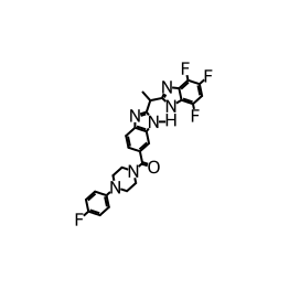 CC(c1nc2c(F)c(F)cc(F)c2[nH]1)c1nc2ccc(C(=O)N3CCN(c4ccc(F)cc4)CC3)cc2n1C